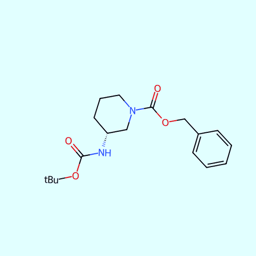 CC(C)(C)OC(=O)N[C@@H]1CCCN(C(=O)OCc2ccccc2)C1